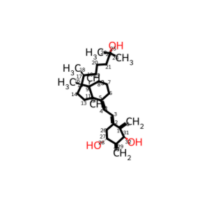 C=C1/C(=C/C=C2\CCC[C@@]3(C)[C@@]2(C)CC[C@]3(C)[C@@H](C)CCCC(C)(C)O)C[C@@H](O)C(=C)[C@@H]1O